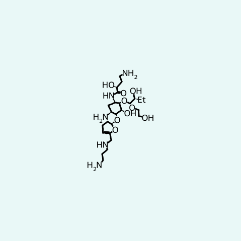 CC[C@@H](O)[C@H](OCCO)O[C@@H]1[C@@H](O)[C@H](O[C@@H]2CCC=C(CNCCCN)O2)[C@@H](N)C[C@H]1NC(=O)[C@H](O)CCN